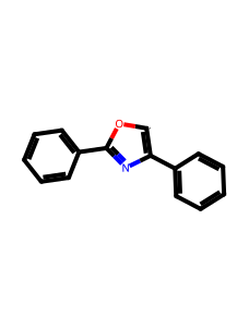 [c]1oc(-c2ccccc2)nc1-c1ccccc1